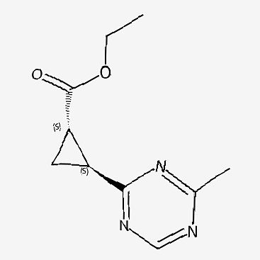 CCOC(=O)[C@H]1C[C@@H]1c1ncnc(C)n1